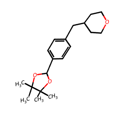 CC1(C)OC(c2ccc(CC3CCOCC3)cc2)OC1(C)C